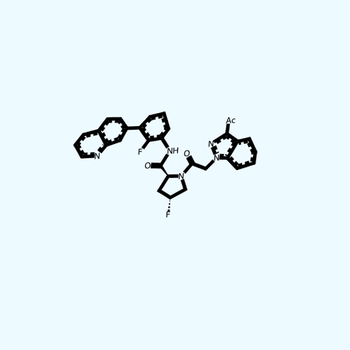 CC(=O)c1nn(CC(=O)N2C[C@H](F)C[C@H]2C(=O)Nc2cccc(-c3ccc4cccnc4c3)c2F)c2ccccc12